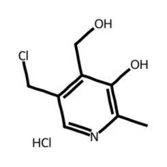 Cc1ncc(CCl)c(CO)c1O.Cl